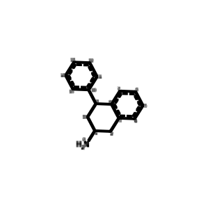 NC1Cc2ccccc2C(c2ccccc2)C1